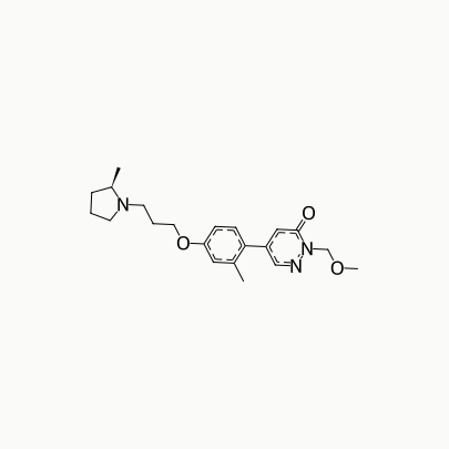 COCn1ncc(-c2ccc(OCCCN3CCC[C@H]3C)cc2C)cc1=O